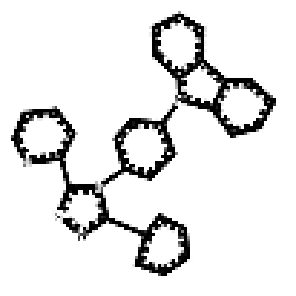 c1ccc(-c2nnc(-c3ccccn3)n2-c2ccc(-n3c4ccccc4c4ccccc43)cc2)cc1